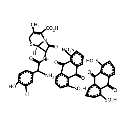 CC1=C(C(=O)O)N2C(=O)C(NC(=O)C(N)c3ccc(O)c(Cl)c3)[C@H]2SC1.O=C1c2cccc(S(=O)(=O)O)c2C(=O)c2cccc(S(=O)(=O)O)c21.O=C1c2cccc(S(=O)(=O)O)c2C(=O)c2cccc(S(=O)(=O)O)c21